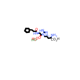 Cl.N=C(N)N(CCC[C@H](N)C(=O)O)C(=O)CNC(=O)CCc1ccccc1.O